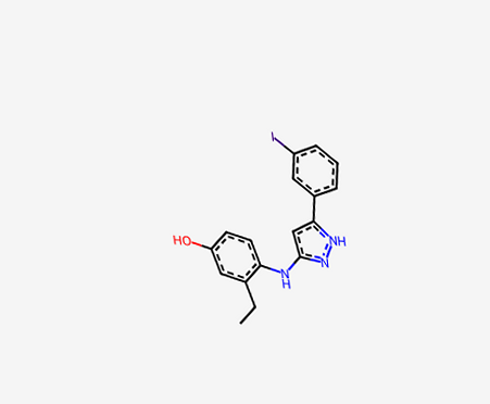 CCc1cc(O)ccc1Nc1cc(-c2cccc(I)c2)[nH]n1